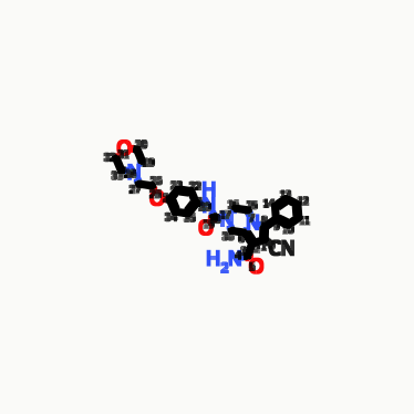 N#Cc1c(C(N)=O)c2n(c1-c1ccccc1)CCN(C(=O)Nc1ccc(OCCN3CCOCC3)cc1)C2